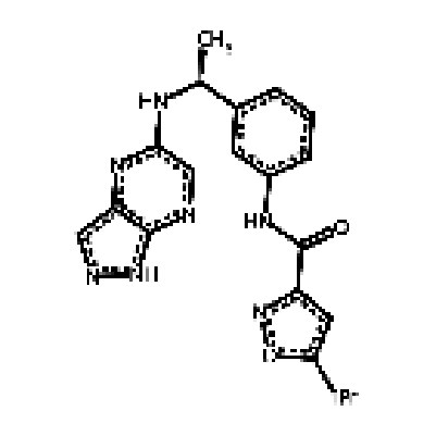 CC(C)c1cc(C(=O)Nc2cccc([C@H](C)Nc3cnc4[nH]ncc4n3)c2)no1